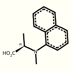 C[C@H](C(=O)O)N(C)c1cccc2ccccc12